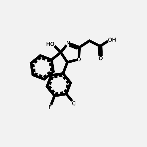 O=C(O)CC1=NC(O)(c2ccccc2)C(c2ccc(F)c(Cl)c2)O1